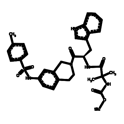 Cc1ccc(S(=O)(=O)Nc2ccc3c(c2)CN(C(=O)[C@@H](Cc2c[nH]c4ccccc24)NC(=O)C(C)(C)NC(=O)OC(C)(C)C)CC3)cc1